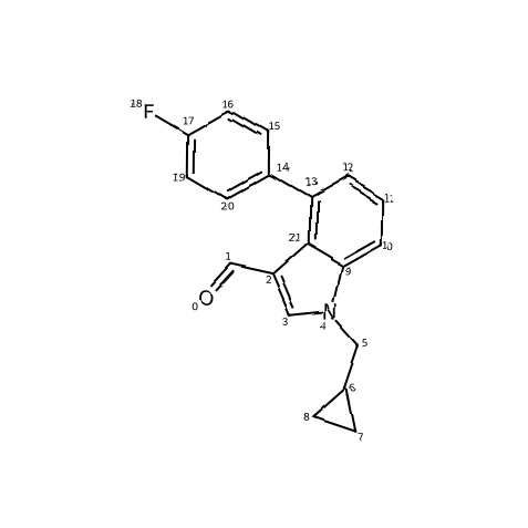 O=Cc1cn(CC2CC2)c2cccc(-c3ccc(F)cc3)c12